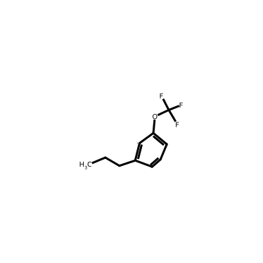 CCCc1[c]c(OC(F)(F)F)ccc1